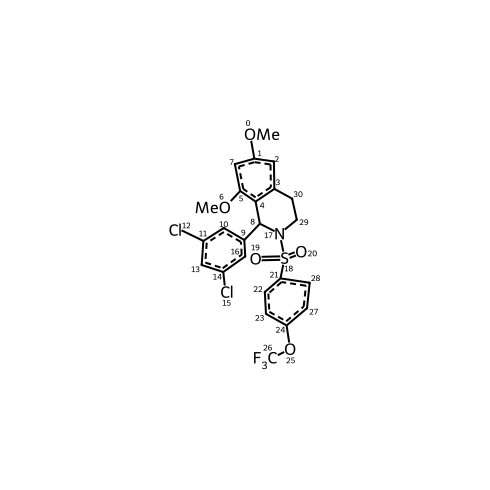 COc1cc2c(c(OC)c1)C(c1cc(Cl)cc(Cl)c1)N(S(=O)(=O)c1ccc(OC(F)(F)F)cc1)CC2